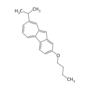 CCCCOc1ccc2c3cccc(C(C)C)cc-3cc2c1